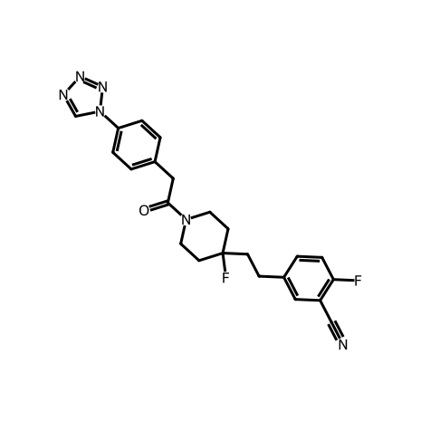 N#Cc1cc(CCC2(F)CCN(C(=O)Cc3ccc(-n4cnnn4)cc3)CC2)ccc1F